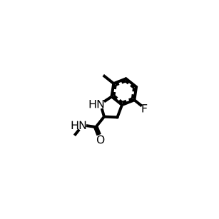 CNC(=O)C1Cc2c(F)ccc(C)c2N1